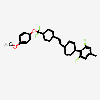 Cc1cc(F)c(C2CCC(/C=C/C3CCC(C(F)(F)Oc4ccc(OC(F)(F)F)cc4)CC3)CC2)c(F)c1